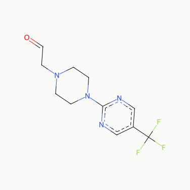 O=CCN1CCN(c2ncc(C(F)(F)F)cn2)CC1